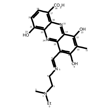 CCN(C)CC/N=C/c1c(O)c(C)c(O)c2nc3c(C(=O)O)ccc(O)c3nc12